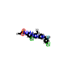 CCCS(=O)(=O)NCc1cnc(N2CCN(C3CCN(Cc4ccc(Cl)cc4F)CC3)[C@@H](CC)C2)c(Cl)c1